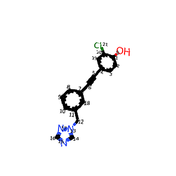 Oc1ccc(C#Cc2cccc(Cn3cncn3)c2)cc1Cl